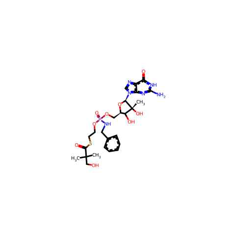 CC(C)(CO)C(=O)SCCOP(=O)(NCc1ccccc1)OC[C@H]1O[C@@H](n2cnc3c(=O)[nH]c(N)nc32)[C@](C)(O)C1O